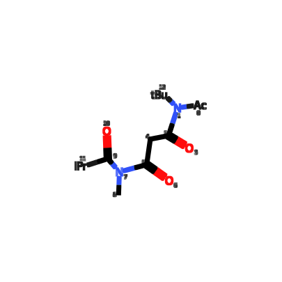 CC(=O)N(C(=O)CC(=O)N(C)C(=O)C(C)C)C(C)(C)C